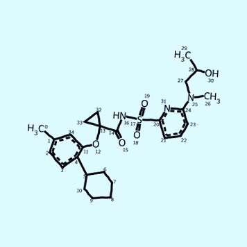 Cc1ccc(C2CCCCC2)c(OC2(C(=O)NS(=O)(=O)c3cccc(N(C)CC(C)O)n3)CC2)c1